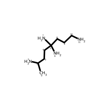 CC(N)CCC(N)(N)CCCN